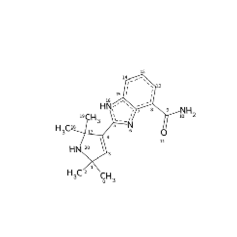 CC1(C)C=C(c2nc3c(C(N)=O)cccc3[nH]2)C(C)(C)N1